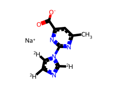 [2H]c1nc([2H])n(-c2nc(C)cc(C(=O)[O-])n2)c1[2H].[Na+]